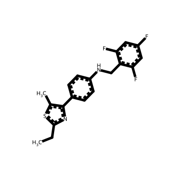 CCc1nc(-c2ccc(NCc3c(F)cc(F)cc3F)cc2)c(C)s1